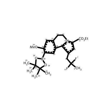 CCOC(=O)c1cc(CC(C)(F)F)c2n1CCc1cc(OC)c(B3OC(C)(C)C(C)(C)O3)cc1-2